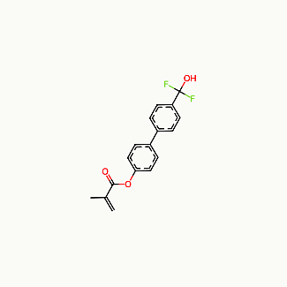 C=C(C)C(=O)Oc1ccc(-c2ccc(C(O)(F)F)cc2)cc1